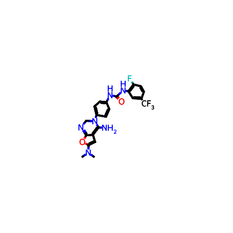 CN(C)c1cc2c(o1)=NCN(c1ccc(NC(=O)Nc3cc(C(F)(F)F)ccc3F)cc1)C=2N